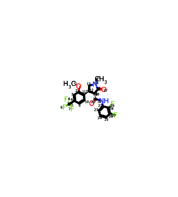 COc1cc(C(F)(F)F)ccc1[C@H]1CN(C)C(=O)[C@@H]1C(=O)Nc1cccc(F)c1F